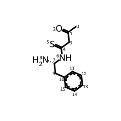 CC(=O)CC(=S)N[C@@H](N)Cc1ccccc1